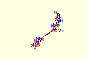 CCc1ccc2c(c1)c(=O)c(C(=O)Nc1ccc(Oc3ncnc4cc(OCCCCCCCCCCCC(=O)Nc5ccc6c(c5)C(=O)N(C5CCC(=O)NC5=O)C6=O)c(OC)cc34)c(F)c1)c(C)n2C